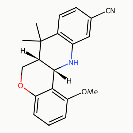 COc1cccc2c1[C@H]1Nc3cc(C#N)ccc3C(C)(C)[C@H]1CO2